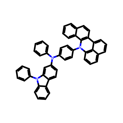 c1ccc(N(c2ccc(N3c4c(ccc5ccccc45)-c4cccc5cccc3c45)cc2)c2ccc3c4ccccc4n(-c4ccccc4)c3c2)cc1